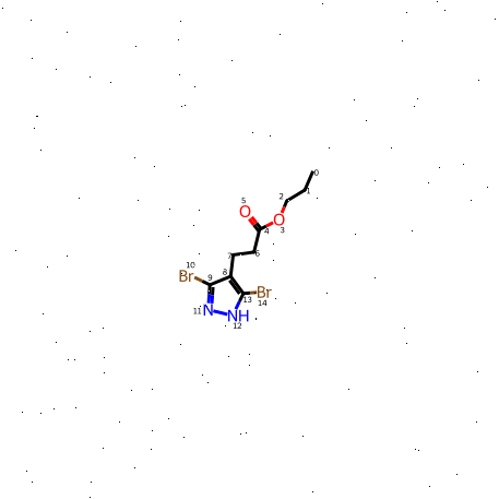 CCCOC(=O)CCc1c(Br)n[nH]c1Br